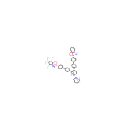 Fc1c(F)c(F)c2oc(-c3ccc(-c4ccc(-c5nc(-c6ccccn6)ccc5-c5ccc(-c6ccc(-c7nc8ccccc8o7)cc6)cc5)cc4)cc3)nc2c1F